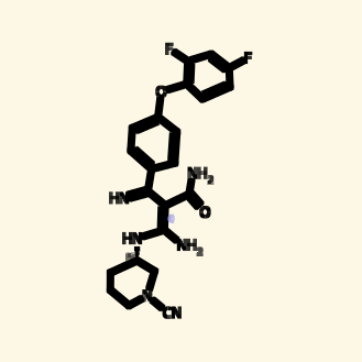 N#CN1CCC[C@H](N/C(N)=C(\C(=N)c2ccc(Oc3ccc(F)cc3F)cc2)C(N)=O)C1